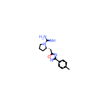 Cc1ccc(-c2noc(C[C@@H]3CCCN3C(=N)N)n2)cc1